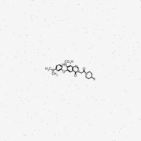 CN(C)c1cccc(Oc2cc3c(=O)n(CC(=O)N4CCC(F)CC4)cnc3cc2NC(=O)O)c1